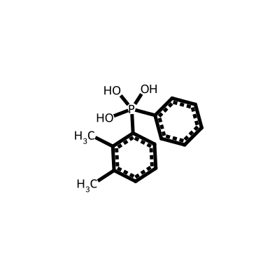 Cc1cccc(P(O)(O)(O)c2ccccc2)c1C